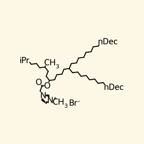 CCCCCCCCCCCCCCCCCCC(CCCCCCCCCCCCCCCCCC)CCCCC(CCC(C)CCCC(C)C)OC(=O)Cn1cc[n+](C)c1.[Br-]